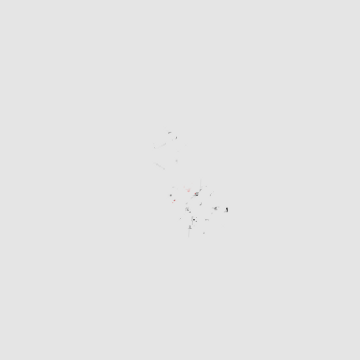 CC1(C)[C@H]2C[C@H]1[C@]1(C)OB(Cc3ccc(C(F)(F)F)cc3)O[C@@H]1C2